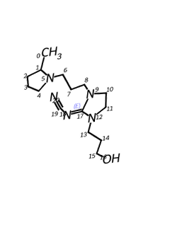 CC1CCCN1CCCN1CCN(CCCO)/C1=N/C#N